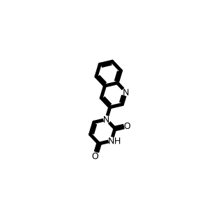 O=c1ccn(-c2cnc3ccccc3c2)c(=O)[nH]1